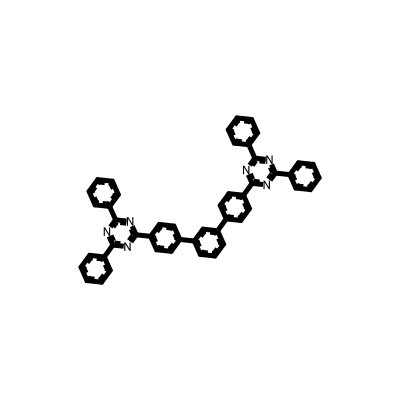 c1ccc(-c2nc(-c3ccccc3)nc(-c3ccc(-c4cccc(-c5ccc(-c6nc(-c7ccccc7)nc(-c7ccccc7)n6)cc5)c4)cc3)n2)cc1